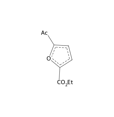 CCOC(=O)c1ccc(C(C)=O)o1